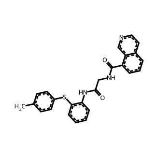 Cc1ccc(Sc2ccccc2NC(=O)CNC(=O)c2cccc3ccncc23)cc1